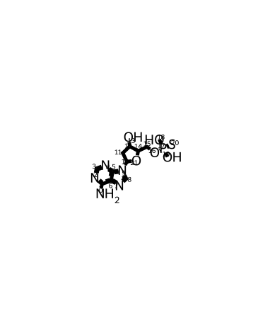 Nc1ncnc2c1ncn2C1CC(O)C(COP(O)(O)=S)O1